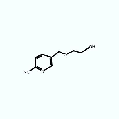 N#Cc1ccc(COCCO)cn1